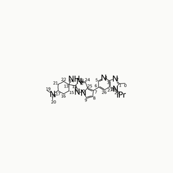 Cc1nc2ncc(-c3ccn4nc(C5(N)CCC(N(C)C)CC5)ncc34)cc2n1C(C)C